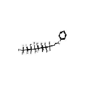 FC(F)(F)C(F)(F)C(F)(F)C(F)(F)C(F)(F)C(F)(F)C(F)(F)C(F)(F)CCOc1cc[c]cc1